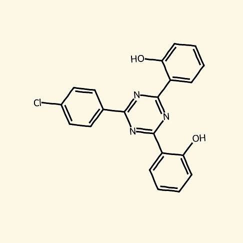 Oc1ccccc1-c1nc(-c2ccc(Cl)cc2)nc(-c2ccccc2O)n1